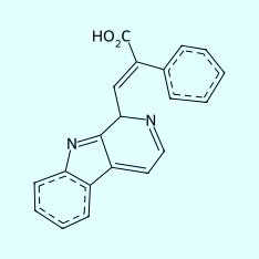 O=C(O)C(=CC1N=CC=C2C1=Nc1ccccc12)c1ccccc1